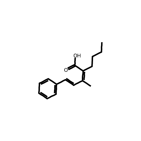 CCCCC(C(=O)O)=C(C)C=Cc1ccccc1